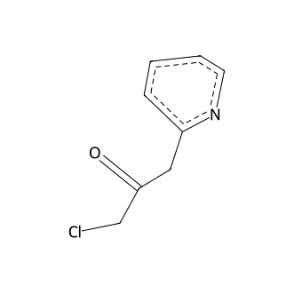 O=C(CCl)Cc1ccccn1